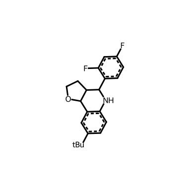 CC(C)(C)c1ccc2c(c1)C1OCCC1C(c1ccc(F)cc1F)N2